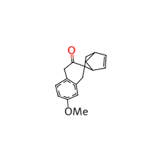 COc1ccc2c(c1)CC1(CC3C=CC1C3)C(=O)C2